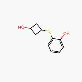 Oc1ccccc1SC1CC(O)C1